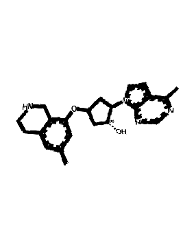 Cc1cc2c(c(OC3CC(n4ccc5c(C)ncnc54)[C@H](O)C3)c1)CNCC2